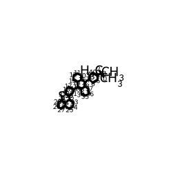 CC(C)(C)c1ccc(-c2c3ccccc3c(-c3ccc4c(c3)-c3cccc5cccc(c35)S4)c3ccccc23)cc1